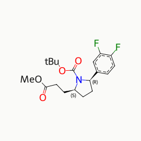 COC(=O)CC[C@@H]1CC[C@H](c2ccc(F)c(F)c2)N1C(=O)OC(C)(C)C